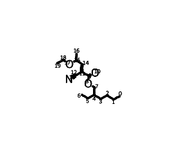 CCCCC(CC)COC(=O)C(C#N)=CC(C)OCC